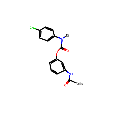 CCN(C(=O)Oc1cccc(NC(=O)OCC(C)C)c1)c1ccc(Cl)cc1